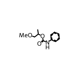 COCC(C)OC(=O)Nc1ccccc1